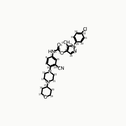 Cc1c(OC(=O)Nc2ccc(N3CCN(C4CCOCC4)CC3)c(C#N)c2)cnn1-c1ccc(Cl)cc1